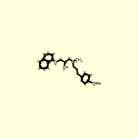 COc1ccc(CCCN(C)CC(O)COc2cccc3ccccc23)cc1